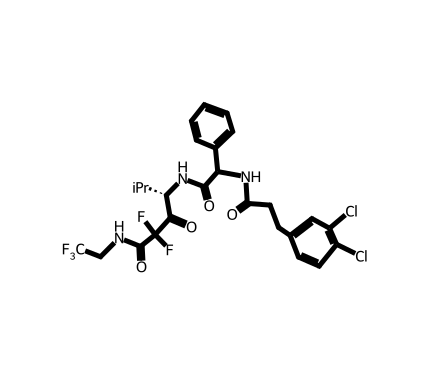 CC(C)[C@H](NC(=O)C(NC(=O)CCc1ccc(Cl)c(Cl)c1)c1ccccc1)C(=O)C(F)(F)C(=O)NCC(F)(F)F